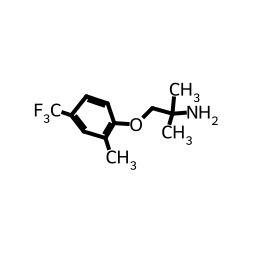 Cc1cc(C(F)(F)F)ccc1OCC(C)(C)N